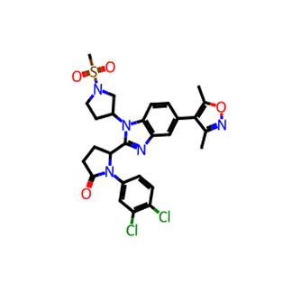 Cc1noc(C)c1-c1ccc2c(c1)nc(C1CCC(=O)N1c1ccc(Cl)c(Cl)c1)n2C1CCN(S(C)(=O)=O)C1